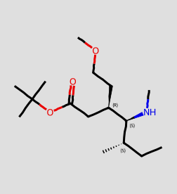 CC[C@H](C)[C@H](NC)[C@H](CCOC)CC(=O)OC(C)(C)C